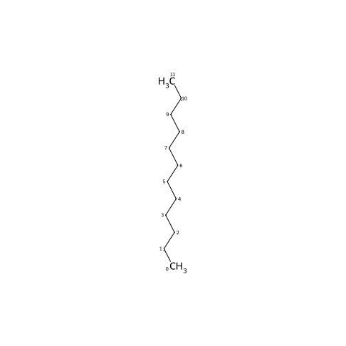 C[CH]CCCCCCCC[CH]C